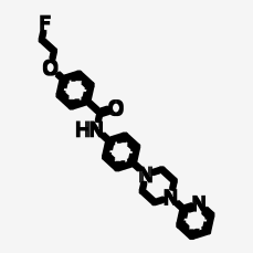 O=C(Nc1ccc(N2CCN(c3ccccn3)CC2)cc1)c1ccc(OCCF)cc1